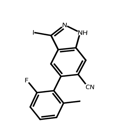 Cc1cccc(F)c1-c1cc2c(I)n[nH]c2cc1C#N